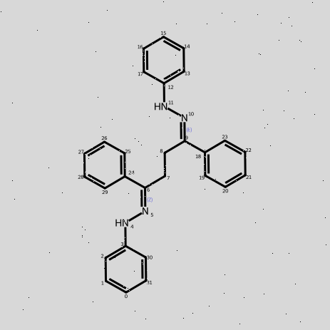 c1ccc(N/N=C(/CC/C(=N\Nc2ccccc2)c2ccccc2)c2ccccc2)cc1